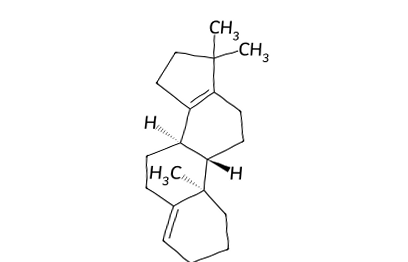 CC1(C)CCC2=C1CC[C@H]1[C@H]2CCC2=CCCC[C@@]21C